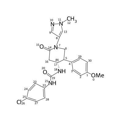 COc1ccc(C2CN(c3cnn(C)c3)C(=O)C[C@H]2NC(=O)Nc2ccc(Cl)cc2)cc1